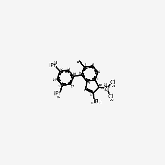 CCC(C)C1=Cc2c(ccc(C)c2-c2cc(C(C)C)cc(C(C)C)c2)[CH]1[Zr]([Cl])[Cl]